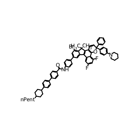 CCCCCC1CCC(c2ccc(-c3ccc(C(=O)Nc4ccc(-c5cc(Br)c6c(c5)-c5c(c7c(c8c(F)cc(F)cc58)OC(c5ccccc5)(c5ccc(N8CCCCC8)cc5)C=C7)C6(C)C)cc4)cc3)cc2)CC1